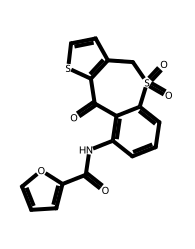 O=C(Nc1cccc2c1C(=O)c1sccc1CS2(=O)=O)c1ccco1